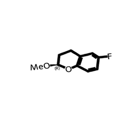 CO[C@H]1CCc2cc(F)ccc2O1